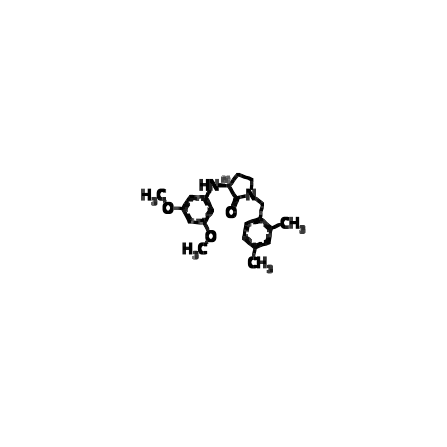 COc1cc(N[C@H]2CCN(Cc3ccc(C)cc3C)C2=O)cc(OC)c1